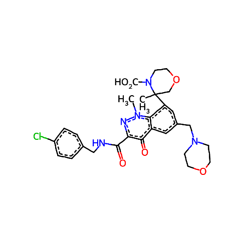 Cn1nc(C(=O)NCc2ccc(Cl)cc2)c(=O)c2cc(CN3CCOCC3)cc(C3(C)COCCN3C(=O)O)c21